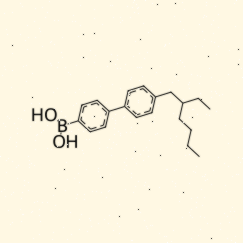 CCCCC(CC)Cc1ccc(-c2ccc(B(O)O)cc2)cc1